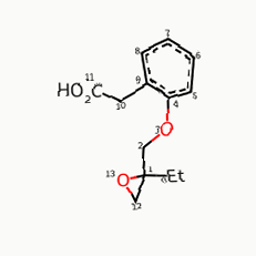 CCC1(COc2ccccc2CC(=O)O)CO1